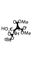 COC(=O)C1C([C@H](NC(=O)OC(C)(C)C)C(=O)O)[C@@H]1C(=O)OC